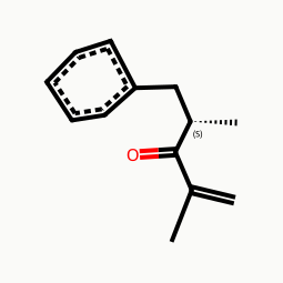 C=C(C)C(=O)[C@@H](C)Cc1ccccc1